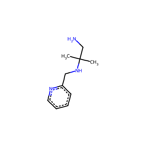 CC(C)(CN)NCc1ccccn1